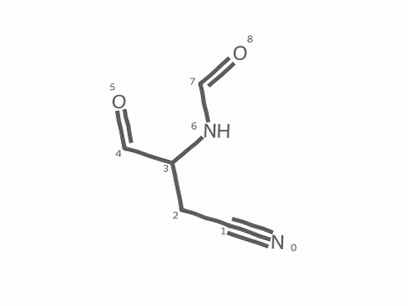 N#CCC(C=O)NC=O